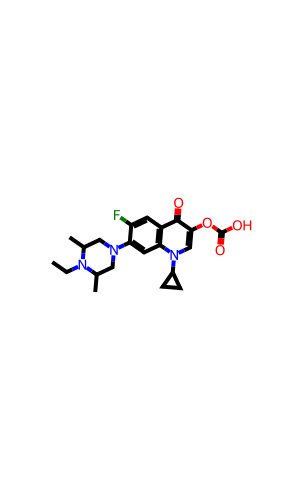 CCN1C(C)CN(c2cc3c(cc2F)c(=O)c(OC(=O)O)cn3C2CC2)CC1C